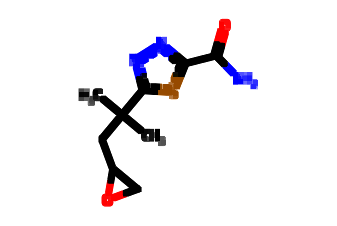 CC(C)(CC1CO1)c1nnc(C(N)=O)s1